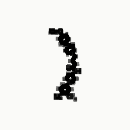 COc1ccc(N2CCN(CCCC(=O)NC3CCN(c4ccc(C#N)c(C(F)(F)F)c4)CC3)CC2)cc1